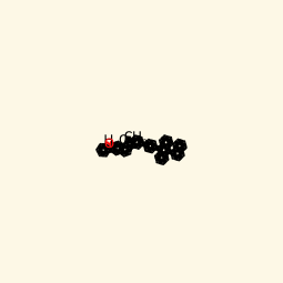 CC1(C)c2ccc(-c3ccc(-c4c5ccccc5c(-c5cccc6ccccc56)c5ccccc45)cc3)cc2-c2ccc3cc4c(cc3c21)oc1ccccc14